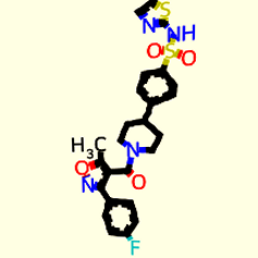 Cc1onc(-c2ccc(F)cc2)c1C(=O)N1CCC(c2ccc(S(=O)(=O)Nc3nccs3)cc2)CC1